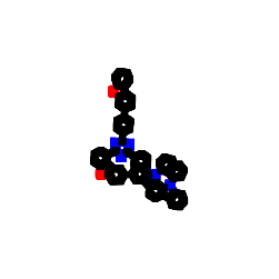 c1ccc(-c2nc(-c3ccc(-c4ccc5c(c4)oc4ccccc45)cc3)nc(-c3cccc4oc5ccc(-c6ccc7c(c6)c6ccc8c9ccccc9n(-c9ccccc9)c8c6n7-c6ccccc6)cc5c34)n2)cc1